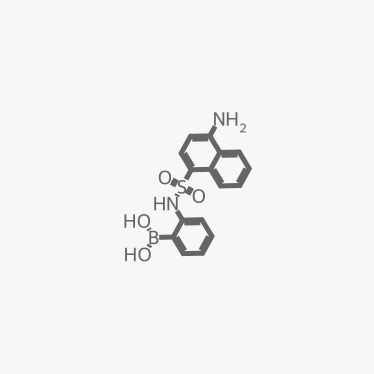 Nc1ccc(S(=O)(=O)Nc2ccccc2B(O)O)c2ccccc12